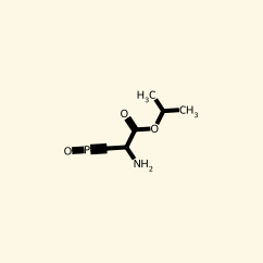 CC(C)OC(=O)C(N)C#P=O